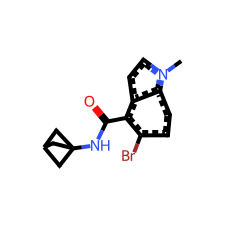 Cn1ccc2c(C(=O)NC34CC(C3)C4)c(Br)ccc21